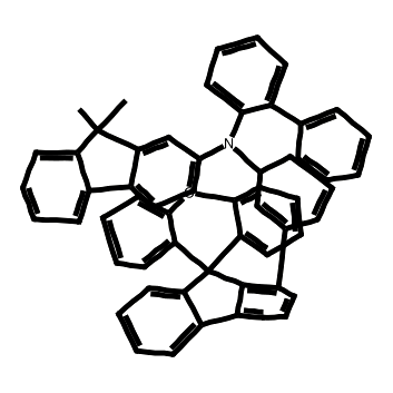 CC1(C)c2ccccc2-c2ccc(N(c3ccccc3-c3ccccc3)C3C=C(c4cccc5c4C4(c6ccccc6Oc6ccccc64)c4ccccc4-5)C=CC3)cc21